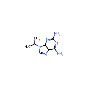 CC(C)N1C=NC2C(N)=NC(N)=NC21